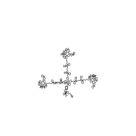 CC(=O)NC1C(OCCCCC(=O)NCCCNC(=O)CCOCC(COCCC(=O)NCCCNC(=O)CCCCOC2OC(COC(C)=O)C(OC(C)=O)C(OC(C)=O)C2NC(C)=O)(COCCC(=O)NCCCNC(=O)CCCCOC2OC(COC(C)=O)C(OC(C)=O)C(OC(C)=O)C2NC(C)=O)NC(=O)c2ccc(OP(OCCC#N)N(C(C)C)C(C)C)cc2)OC(COC(C)=O)C(OC(C)=O)C1OC(C)=O